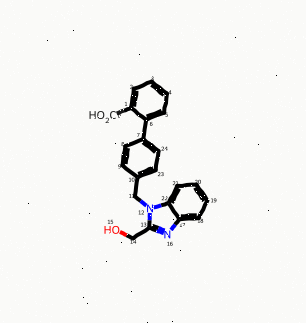 O=C(O)c1ccccc1-c1ccc(Cn2c(CO)nc3ccccc32)cc1